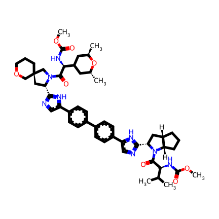 COC(=O)N[C@H](C(=O)N1[C@H](c2ncc(-c3ccc(-c4ccc(-c5cnc([C@@H]6C[C@@]7(CCCOC7)CN6C(=O)[C@@H](NC(=O)OC)C6C[C@@H](C)O[C@H](C)C6)[nH]5)cc4)cc3)[nH]2)C[C@@H]2CCC[C@@H]21)C(C)C